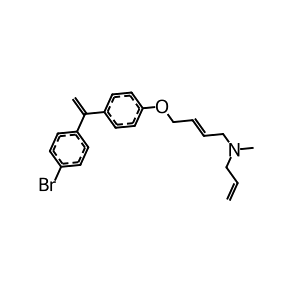 C=CCN(C)CC=CCOc1ccc(C(=C)c2ccc(Br)cc2)cc1